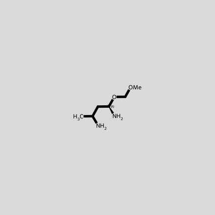 COCO[C@@H](N)CC(C)N